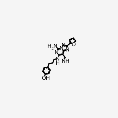 N=Cc1c(NCCCc2ccc(O)cc2)nc(N)n2nc(-c3ccco3)nc12